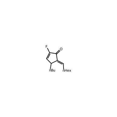 CCCCCCC=C1C(=O)C(F)=CC1CCCC